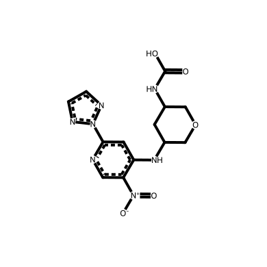 O=C(O)NC1COCC(Nc2cc(-n3nccn3)ncc2[N+](=O)[O-])C1